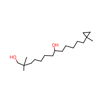 CC(C)(CO)CCCCCC(O)CCCCCC1(C)CC1